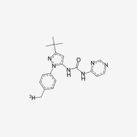 [2H]Cc1ccc(-n2nc(C(C)(C)C)cc2NC(=O)Nc2ccncn2)cc1